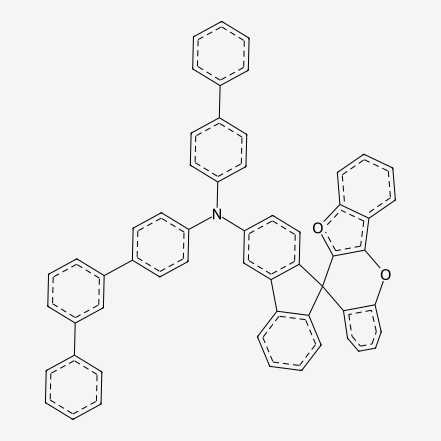 c1ccc(-c2ccc(N(c3ccc(-c4cccc(-c5ccccc5)c4)cc3)c3ccc4c(c3)-c3ccccc3C43c4ccccc4Oc4c3oc3ccccc43)cc2)cc1